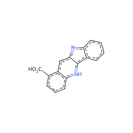 O=C(O)c1cccc2[nH]c3c4ccccc4nc-3cc12